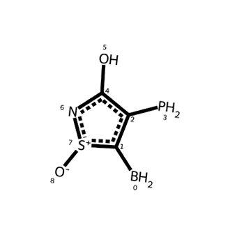 Bc1c(P)c(O)n[s+]1[O-]